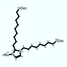 CCCCCCCCCCCCCCCCCCCC1N(CCCC)C=CN1CCCCCCCCCCCCCCCCCC